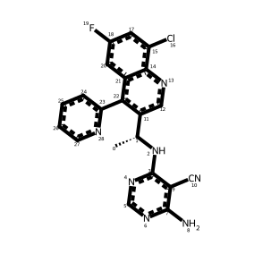 C[C@@H](Nc1ncnc(N)c1C#N)c1cnc2c(Cl)cc(F)cc2c1-c1ccccn1